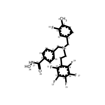 Cc1ccc(CN(CCc2c(F)c(F)c(F)c(F)c2F)Cc2ccc(C(=O)NO)cc2)cc1F